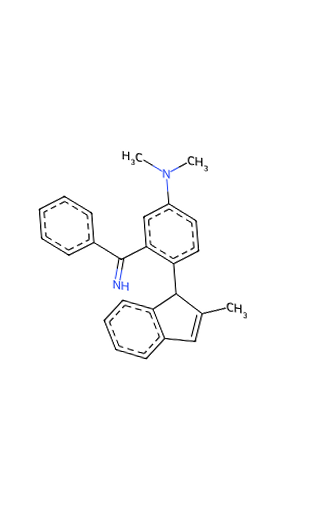 CC1=Cc2ccccc2C1c1ccc(N(C)C)cc1C(=N)c1ccccc1